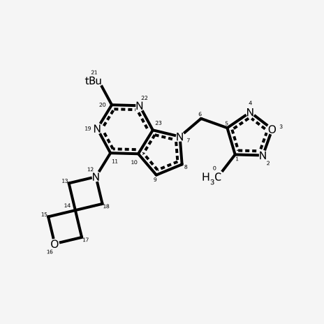 Cc1nonc1Cn1ccc2c(N3CC4(COC4)C3)nc(C(C)(C)C)nc21